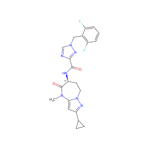 CN1C(=O)[C@@H](NC(=O)c2ncn(Cc3c(F)cccc3F)n2)CCn2nc(C3CC3)cc21